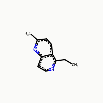 CCc1nccc2nc(C)ccc12